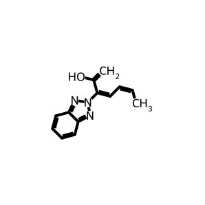 C=C(O)/C(=C\C=C/C)n1nc2ccccc2n1